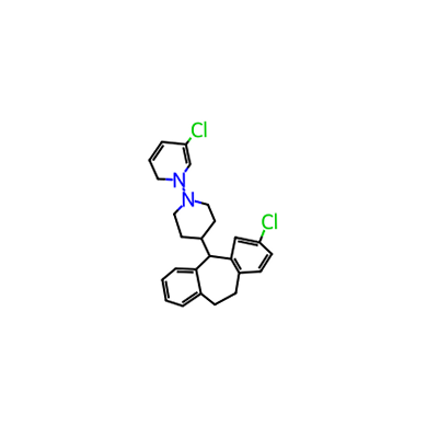 ClC1=CN(N2CCC(C3c4ccccc4CCc4ccc(Cl)cc43)CC2)CC=C1